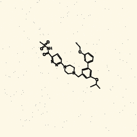 CCOc1cccc(-c2cc(CN3CCN(c4ccc(C(=O)NS(C)(=O)=O)nn4)CC3)cc(OC(C)C)c2)c1